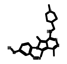 CCOc1ccc(-n2c(C)c3c(C)nnc(NCC4CCN(C)CC4)c3c2C)c(OC)c1